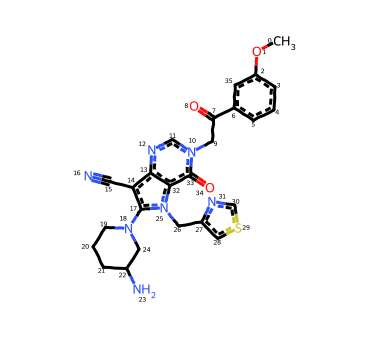 COc1cccc(C(=O)Cn2cnc3c(C#N)c(N4CCCC(N)C4)n(Cc4cscn4)c3c2=O)c1